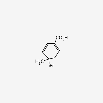 CC(C)C1(C)C=CC(C(=O)O)=CC1